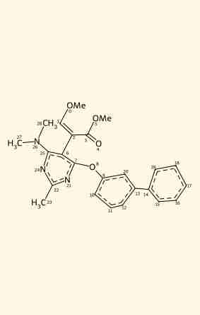 CO/C=C(\C(=O)OC)c1c(Oc2cccc(-c3ccccc3)c2)nc(C)nc1N(C)C